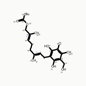 C/C(=C\Cc1c(O)c(Cl)c(C)c(CO)c1O)CC/C=C(\C)COC(=O)C(C)(C)C